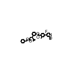 COc1cc(-c2ccc(C(=O)Oc3cccc(C(CC(=O)OCc4ccccc4)C4CC4)c3)c(C)c2)c(F)cn1